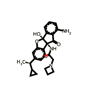 C[C@@H](c1ccc2c(c1)O[C@]1(O)c3cccc(N)c3C(=O)[C@]21NC(=O)CN1CCC1)C1CC1